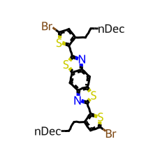 CCCCCCCCCCCCc1cc(Br)sc1-c1nc2cc3sc(-c4sc(Br)cc4CCCCCCCCCCCC)nc3cc2s1